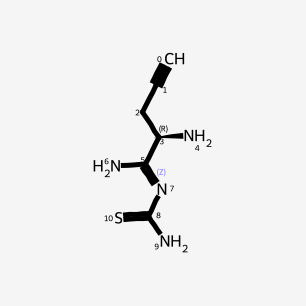 C#CC[C@@H](N)/C(N)=N/C(N)=S